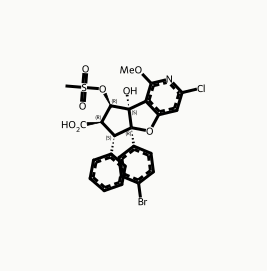 COc1nc(Cl)cc2c1[C@]1(O)[C@H](OS(C)(=O)=O)[C@H](C(=O)O)[C@@H](c3ccccc3)[C@]1(c1ccc(Br)cc1)O2